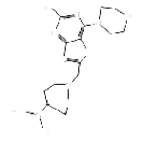 CN(C)C1CCN(Cc2nc3nc(Cl)nc(N4CCOCC4)c3s2)CC1